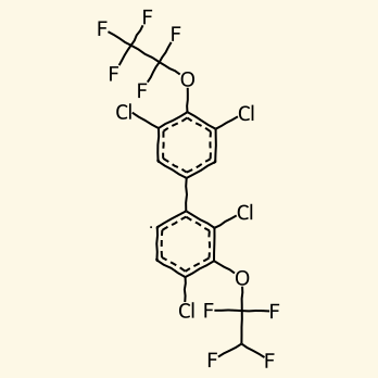 FC(F)C(F)(F)Oc1c(Cl)c[c]c(-c2cc(Cl)c(OC(F)(F)C(F)(F)F)c(Cl)c2)c1Cl